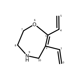 C=CC1=C(C=C)OCCNC1